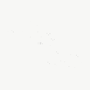 NCc1cccc(-c2nnc(-c3cncc(-c4cccnc4)n3)[nH]2)c1